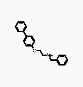 c1ccc(CNCCOc2ccc(-c3ccccc3)cc2)cc1